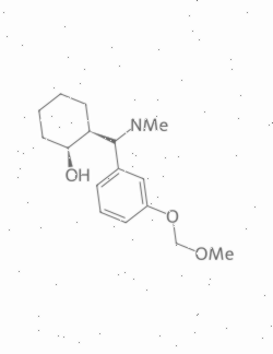 CNC(c1cccc(OCOC)c1)[C@@H]1CCCC[C@@H]1O